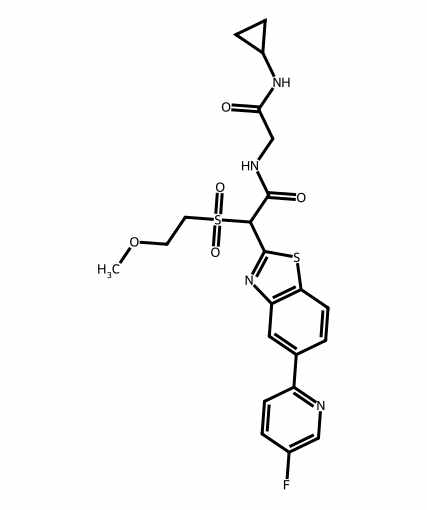 COCCS(=O)(=O)C(C(=O)NCC(=O)NC1CC1)c1nc2cc(-c3ccc(F)cn3)ccc2s1